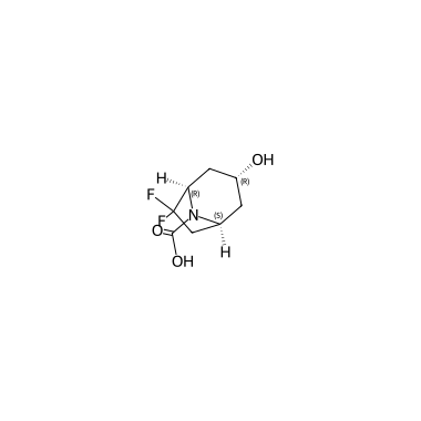 O=C(O)N1[C@H]2C[C@@H](O)C[C@@H]1C(F)(F)C2